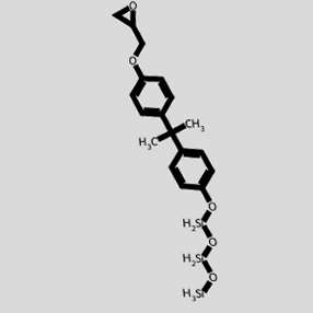 CC(C)(c1ccc(OCC2CO2)cc1)c1ccc(O[SiH2]O[SiH2]O[SiH3])cc1